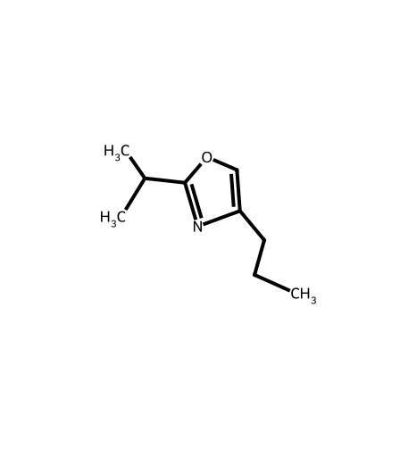 CCCc1coc(C(C)C)n1